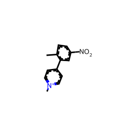 Cc1ccc([N+](=O)[O-])cc1-c1cc[n+](C)cc1